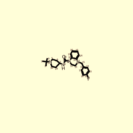 CC(C)(C)N1CCC(NC(=O)N2CCN(Cc3ccc(F)cc3)c3ccccc32)CC1